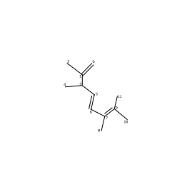 C=C(C)C(C)C=CC(C)=C(C)C